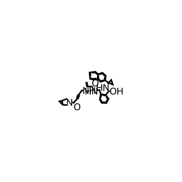 C=C(NCC#CC(=O)N1CC2CC2C1)C(=O)NCc1ccccc1C(O)NC1(c2ccc3ccccc3c2)CC1